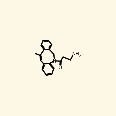 C/C1=C/c2ccccc2N(C(=O)CCN)Cc2ccccc21